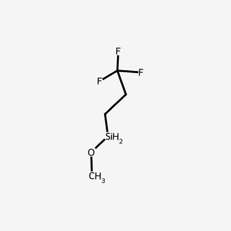 CO[SiH2]CCC(F)(F)F